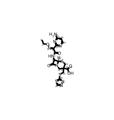 CCON=C(C(=O)NC1C(=O)N2CC(CSc3nncs3)(C(=O)O)CS[C@H]12)c1nccc(N)n1